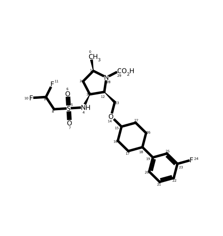 C[C@@H]1C[C@H](NS(=O)(=O)CC(F)F)[C@H](COC2CCC(c3cccc(F)c3)CC2)N1C(=O)O